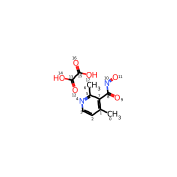 Cc1ccnc(C)c1C(=O)N=O.O=C(O)C(=O)O